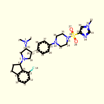 CN(C)[C@@H]1CN(C2CCc3cccc(F)c32)C[C@H]1c1ccc(N2CCN(S(=O)(=O)c3cn(C)cn3)CC2)cc1